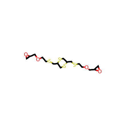 C(CSCC1CSC(CSCCOCC2CO2)CS1)OCC1CO1